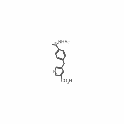 CC(=O)N[C@H](C)c1ccc(Cc2cncc(C(=O)O)c2)cc1